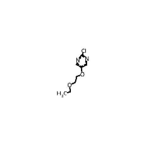 CCOCCOc1cnc(Cl)nc1